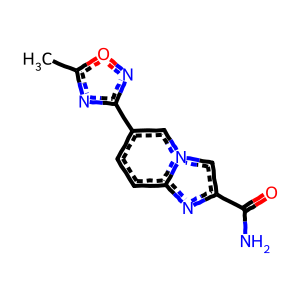 Cc1nc(-c2ccc3nc(C(N)=O)cn3c2)no1